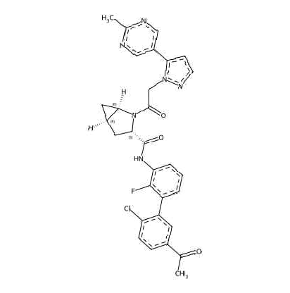 CC(=O)c1ccc(Cl)c(-c2cccc(NC(=O)[C@@H]3C[C@H]4C[C@H]4N3C(=O)Cn3nccc3-c3cnc(C)nc3)c2F)c1